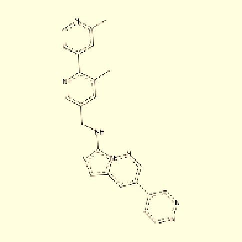 Cc1cc(-c2ncc(CNc3ncc4cc(-c5ccnnc5)cnn34)cc2C)ccn1